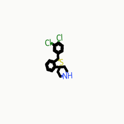 Clc1ccc(C2SC3(CCNCC3)c3ccccc32)cc1Cl